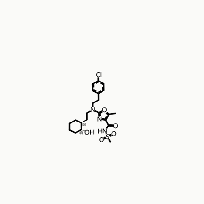 Cc1oc(N(CCc2ccc(Cl)cc2)CC[C@@H]2CCCC[C@H]2O)nc1C(=O)NS(C)(=O)=O